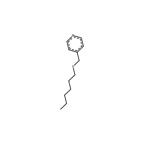 CCCCCCSCc1[c]cncc1